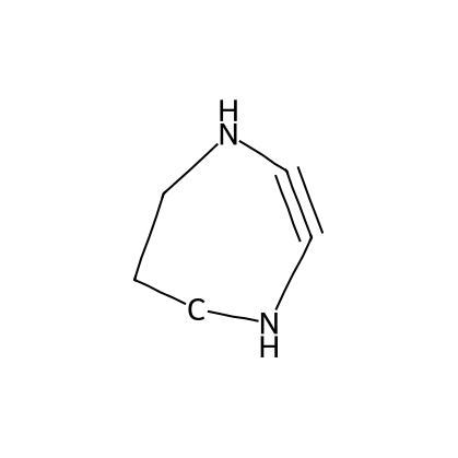 C1#CNCCCN1